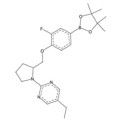 CCc1cnc(N2CCCC2COc2ccc(B3OC(C)(C)C(C)(C)O3)cc2F)nc1